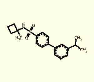 CC(C)c1cccc(-c2ccc(S(=O)(=O)NC3(C)CCC3)cc2)c1